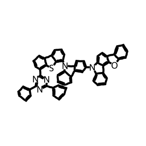 c1ccc(-c2nc(-c3ccccc3)nc(-c3cccc4c3sc3c(-n5c6ccccc6c6cc(-n7c8ccccc8c8c9oc%10ccccc%10c9ccc87)ccc65)cccc34)n2)cc1